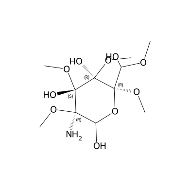 COC(O)[C@@]1(OC)OC(O)[C@@](N)(OC)[C@](O)(OC)[C@@]1(O)OC